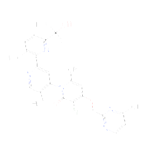 Cc1ccnc(COc2cc(C)n(-c3cc(-c4nc(C(C)(C)O)ccc4C)ncc3C)c(=O)c2Cl)n1